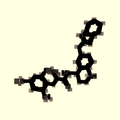 Cc1cc(C)c(CC(N)C(=O)NC2CCNc3ccc(Cc4cc5ccccc5o4)cc32)c(C)c1